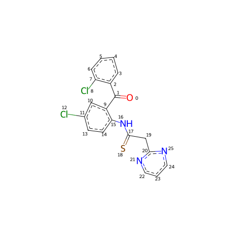 O=C(c1ccccc1Cl)c1cc(Cl)ccc1NC(=S)Cc1ncccn1